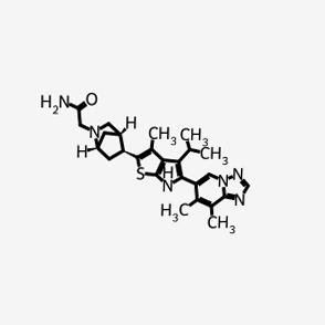 Cc1c(-c2[nH]c3sc([C@H]4C[C@H]5C[C@@H]4CN5CC(N)=O)c(C)c3c2C(C)C)cn2ncnc2c1C